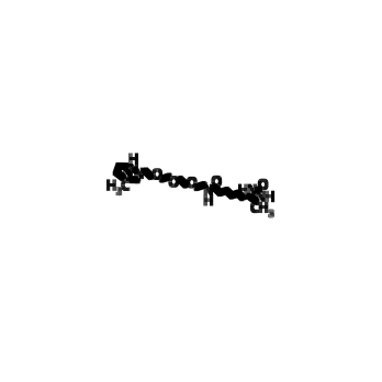 CC1CN(CCOCCOCCOCCNC(=O)CCCCC[C@H]2NC(=O)N[C@H]2C)N[N+]12CCCC2